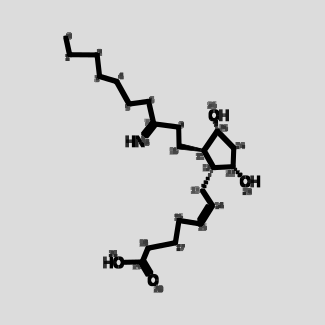 CCCCCCCC(=N)CC[C@@H]1[C@@H](C/C=C\CCCC(=O)O)[C@@H](O)C[C@H]1O